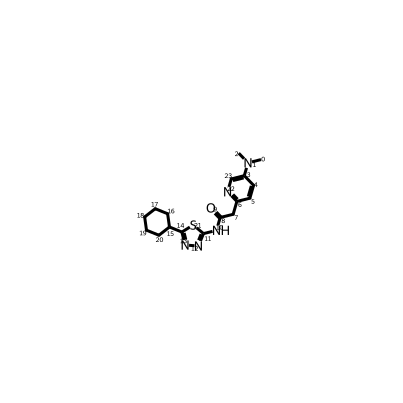 CN(C)c1ccc(CC(=O)Nc2nnc(C3CCCCC3)s2)nc1